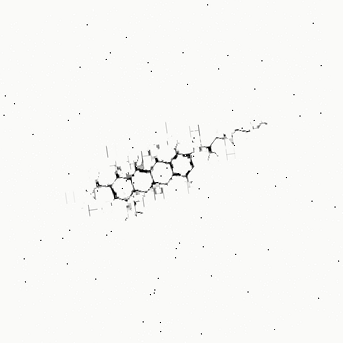 B=C1C(C(N)=O)=C(O)[C@@H](N(C)C)[C@@H]2C[C@@H]3Cc4c(F)cc(NC(=O)CNCCOC)c(O)c4C(=O)C3=C(O)[C@]12O